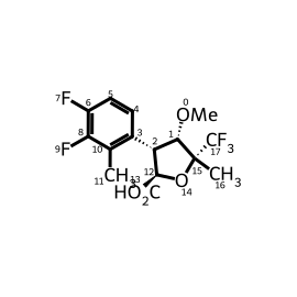 CO[C@H]1[C@@H](c2ccc(F)c(F)c2C)[C@H](C(=O)O)O[C@@]1(C)C(F)(F)F